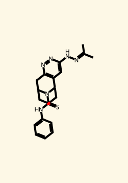 CC(C)=NNc1cc2c(nn1)CC1CCCC2N1C(=S)Nc1ccccc1